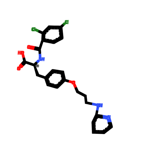 O=C(N[C@@H](Cc1ccc(OCCCNc2ccccn2)cc1)C(=O)O)c1ccc(Cl)cc1Cl